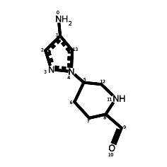 Nc1cnn(C2CCC(C=O)NC2)c1